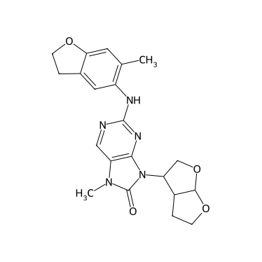 Cc1cc2c(cc1Nc1ncc3c(n1)n(C1COC4OCCC41)c(=O)n3C)CCO2